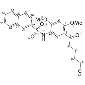 COc1cc(OC)c(C(=O)CCCCCl)cc1NS(=O)(=O)c1ccc2ccccc2c1